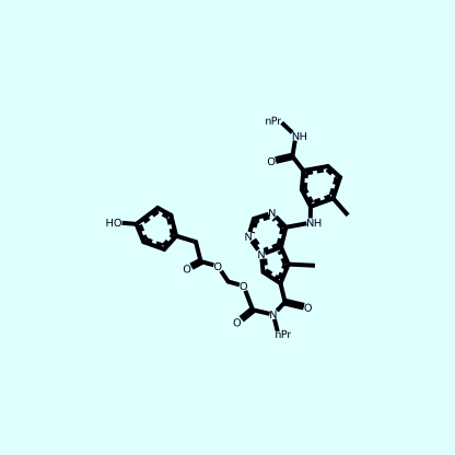 CCCNC(=O)c1ccc(C)c(Nc2ncnn3cc(C(=O)N(CCC)C(=O)OCOC(=O)Cc4ccc(O)cc4)c(C)c23)c1